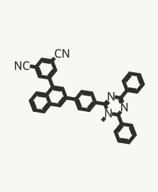 CN1C(c2ccc(-c3cc(-c4cc(C#N)cc(C#N)c4)c4ccccc4c3)cc2)=NC(c2ccccc2)=NC1c1ccccc1